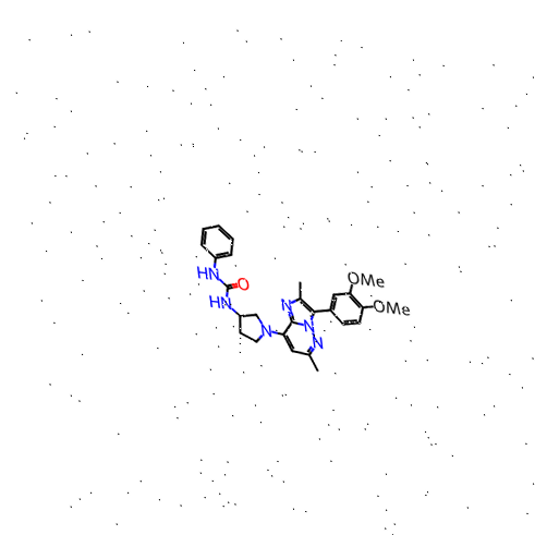 COc1ccc(-c2c(C)nc3c(N4CCC(NC(=O)Nc5ccccc5)C4)cc(C)nn23)cc1OC